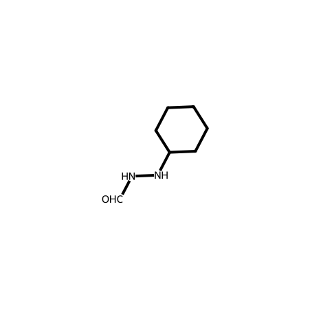 O=CNNC1CCCCC1